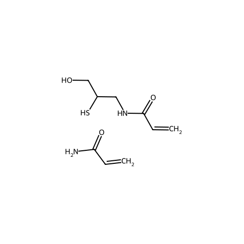 C=CC(=O)NCC(S)CO.C=CC(N)=O